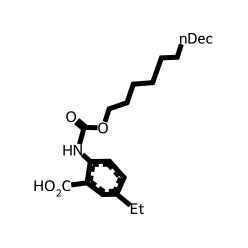 CCCCCCCCCCCCCCCCOC(=O)Nc1ccc(CC)cc1C(=O)O